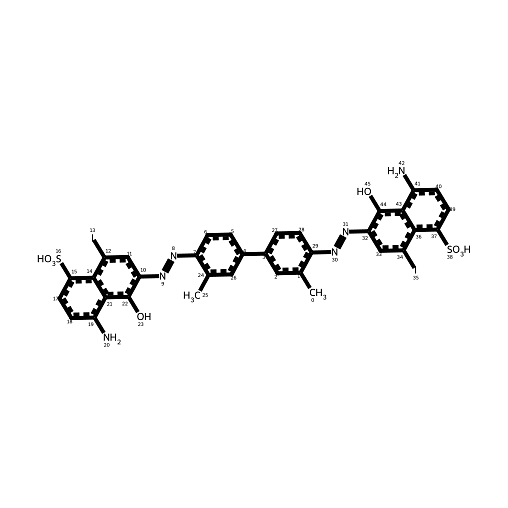 Cc1cc(-c2ccc(/N=N/c3cc(I)c4c(S(=O)(=O)O)ccc(N)c4c3O)c(C)c2)ccc1/N=N/c1cc(I)c2c(S(=O)(=O)O)ccc(N)c2c1O